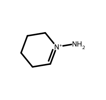 N[N+]1=CCCCC1